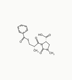 C[C@H](CSC(=O)c1ccccc1)C(=O)N1C(=O)N(C)C[C@H]1C(=O)O